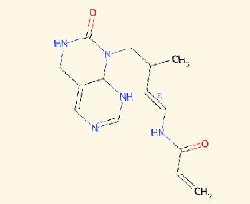 C=CC(=O)N/C=C/C(C)CN1C(=O)NCC2=CN=CNC21